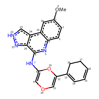 COc1ccc2nc(NC3=COC=C(C4=CC=CCC4)O3)c3n[nH]cc3c2c1